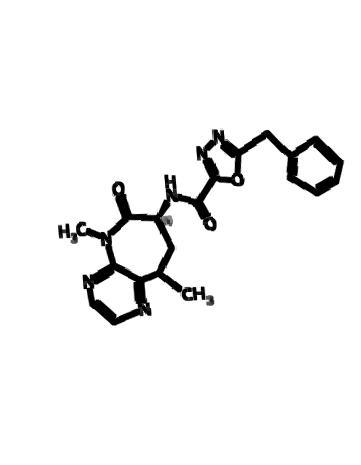 CC1C[C@H](NC(=O)c2nnc(Cc3ccccc3)o2)C(=O)N(C)c2nccnc21